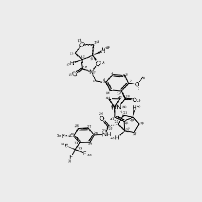 COc1ccc(CN2O[C@H]3COC[C@H]3C2=O)cc1C(=O)N[C@H]1[C@@H](C(=O)Nc2ccc(F)c(C(F)(F)F)c2)[C@H]2CC[C@@H]1/C2=C\C1CC1